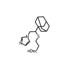 CCCCCCCCCCCCSC(Cn1ccnc1)C12CC3CC(CC(C3)C1)C2